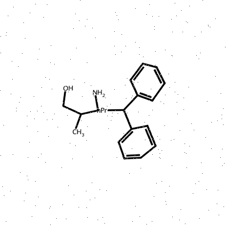 CC(CN)CO.CCCC(c1ccccc1)c1ccccc1